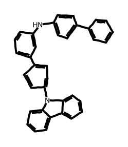 c1ccc(-c2ccc(Nc3cccc(-c4ccc(-n5c6ccccc6c6ccccc65)cc4)c3)cc2)cc1